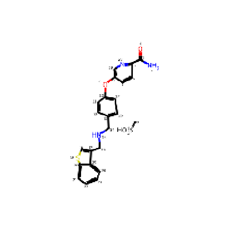 CS(=O)(=O)O.NC(=O)c1ccc(Oc2ccc(CNCc3csc4ccccc34)cc2)cn1